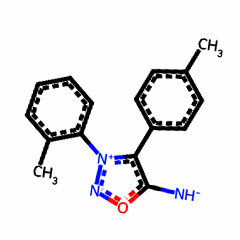 Cc1ccc(-c2c([NH-])on[n+]2-c2ccccc2C)cc1